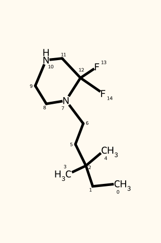 CCC(C)(C)CCN1CCNCC1(F)F